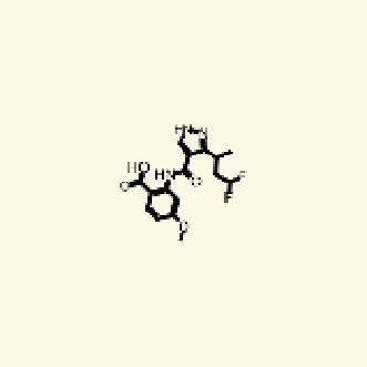 COc1ccc(C(=O)O)c(NC(=O)c2c[nH]nc2C(C)CC(F)F)c1